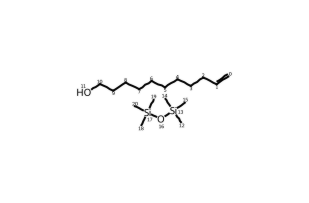 C=CCCCCCCCCCO.C[Si](C)(C)O[Si](C)(C)C